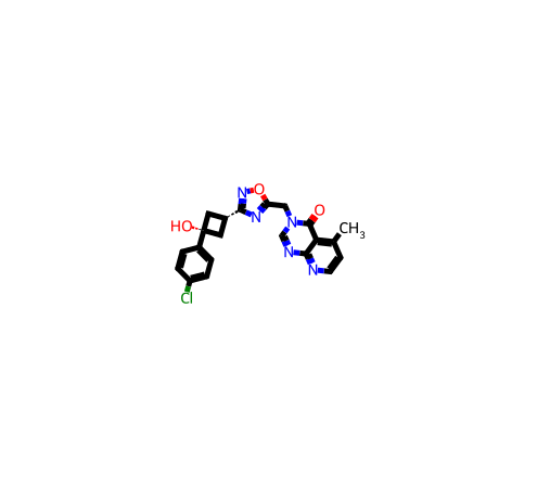 Cc1ccnc2ncn(Cc3nc([C@H]4C[C@](O)(c5ccc(Cl)cc5)C4)no3)c(=O)c12